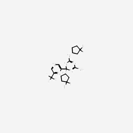 NC1=NC(c2cncc(C(F)(F)F)n2)([C@@H]2CCC(F)(F)C2)NC(N[C@@H]2CCC(F)(F)C2)=N1